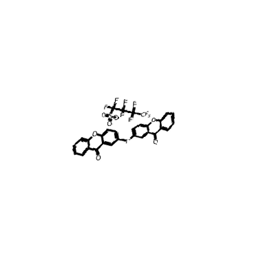 O=S(=O)([O-])C(F)(F)C(F)(F)C(F)(F)C(F)(F)F.O=c1c2ccccc2oc2ccc([I+]c3ccc4oc5ccccc5c(=O)c4c3)cc12